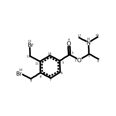 CC(OC(=O)c1ccc(CBr)c(CBr)c1)N(C)C